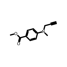 C#CCN(C)c1ccc(C(=O)OC)cc1